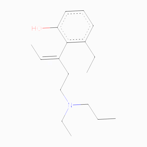 C/C=C(/CCN(CC)CCC)c1c(O)cccc1CC